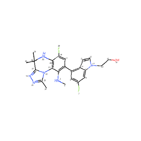 CNc1c(-c2cc(F)cc3c2ccn3CCO)cc(F)c2c1-n1c(C)nnc1C(C)(C)N2